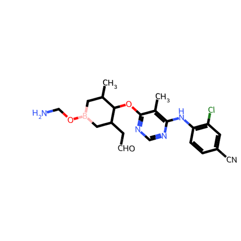 Cc1c(Nc2ccc(C#N)cc2Cl)ncnc1OC1C(C)CB(OCN)CC1CC=O